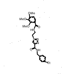 CCc1ccc(CNC(=O)c2cn(CCNC(=O)c3ccc(OC)c(OC)c3OC)nn2)cc1